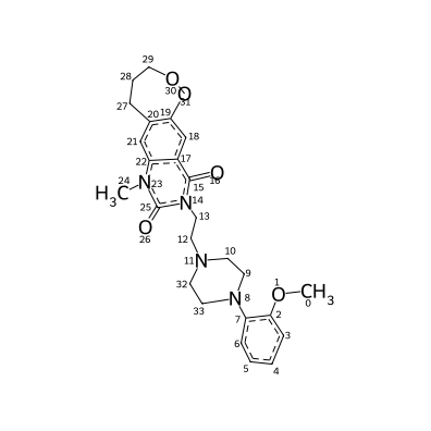 COc1ccccc1N1CCN(CCn2c(=O)c3cc4c(cc3n(C)c2=O)CCCOO4)CC1